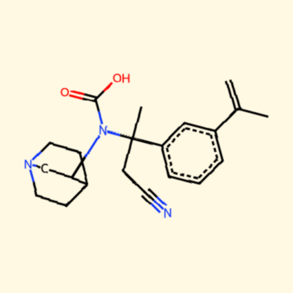 C=C(C)c1cccc(C(C)(CC#N)N(C(=O)O)C2CN3CCC2CC3)c1